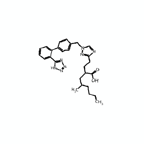 CCCCC(C)CC(CCc1ncn(Cc2ccc(-c3ccccc3-c3nnn[nH]3)cc2)n1)C(=O)O